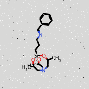 CC1CN2CC(C)O[Si](CCCN=Cc3ccccc3)(O1)OC(C)C2